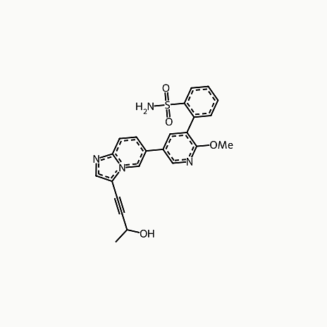 COc1ncc(-c2ccc3ncc(C#CC(C)O)n3c2)cc1-c1ccccc1S(N)(=O)=O